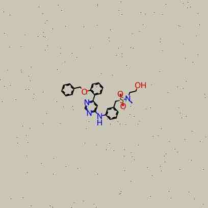 CN(CCO)S(=O)(=O)Cc1cccc(Nc2cc(-c3ccccc3OCc3ccccc3)ncn2)c1